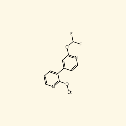 CCOc1ncccc1-c1ccnc(OC(F)F)c1